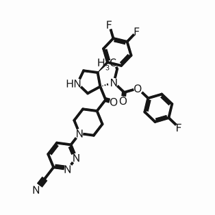 CCN(C(=O)Oc1ccc(F)cc1)[C@]1(C(=O)C2CCN(c3ccc(C#N)nn3)CC2)CNC[C@H]1c1ccc(F)c(F)c1